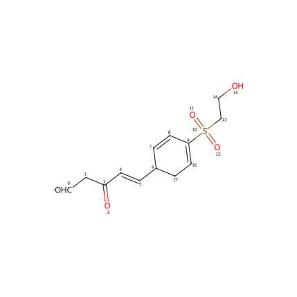 O=[C]CC(=O)C=CC1C=CC(S(=O)(=O)CCO)=CC1